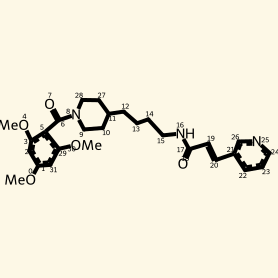 COc1cc(OC)c(C(=O)N2CCC(CCCCNC(=O)/C=C/c3cccnc3)CC2)c(OC)c1